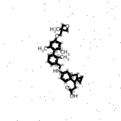 Cc1cc(OCC2(C)COC2)cc(C)c1-c1cccc(CNc2ccc3c(c2)CC2(CC2)C3CC(=O)O)c1C